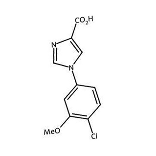 COc1cc(-n2cnc(C(=O)O)c2)ccc1Cl